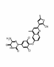 Cc1cc(-c2cc(C)c3cc(Oc4c(Cl)cc(-n5nc(N)c(=O)[nH]c5=O)cc4Cl)ccc3n2)c(C#N)o1